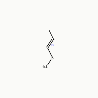 C/[C]=C/S[CH]C